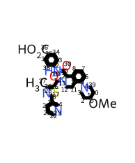 COC1CCN(c2cccc3c2CCN(C(=O)c2sc(-c4cccnc4)nc2C)C3C(=O)Nc2ccc(C(=O)O)cc2)CC1